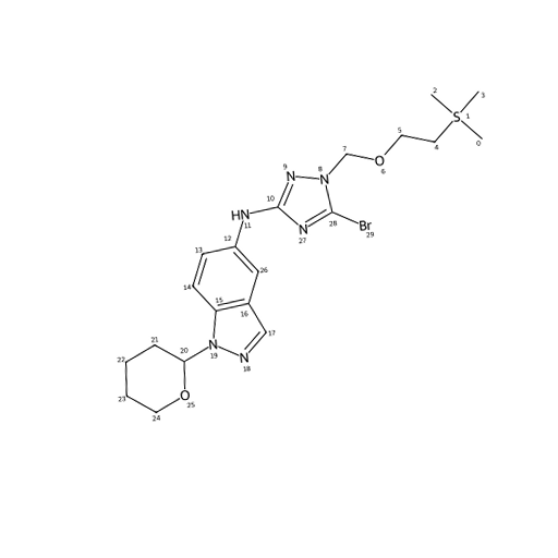 CS(C)(C)CCOCn1nc(Nc2ccc3c(cnn3C3CCCCO3)c2)nc1Br